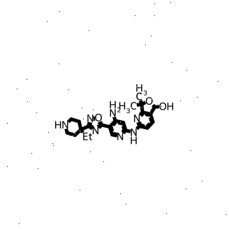 CCC1(c2noc(-c3cnc(Nc4ccc5c(n4)C(C)(C)OC5O)cc3N)n2)CCNCC1